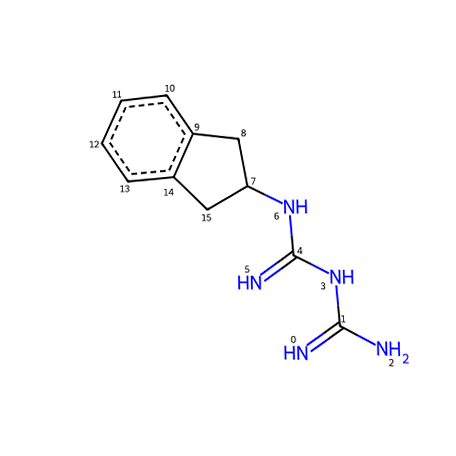 N=C(N)NC(=N)NC1Cc2ccccc2C1